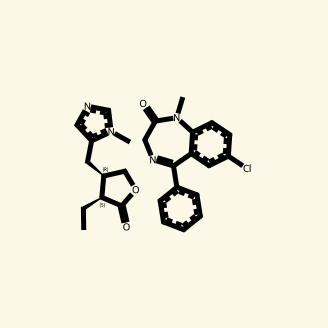 CC[C@@H]1C(=O)OC[C@@H]1Cc1cncn1C.CN1C(=O)CN=C(c2ccccc2)c2cc(Cl)ccc21